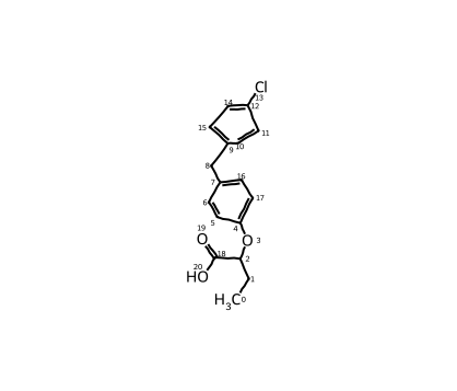 CCC(Oc1ccc(Cc2ccc(Cl)cc2)cc1)C(=O)O